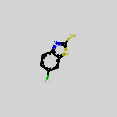 Sc1nc2ccc(Cl)cc2s1